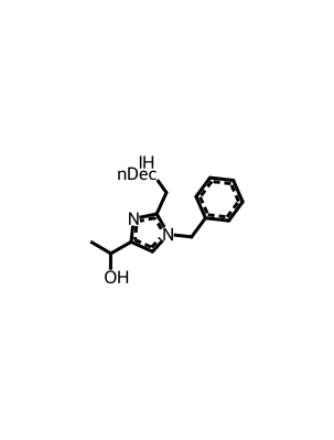 CCCCCCCCCCCc1nc(C(C)O)cn1Cc1ccccc1.I